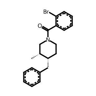 C[C@@H]1CN(C(=O)c2ccccc2Br)CC[C@@H]1Cc1ccccc1